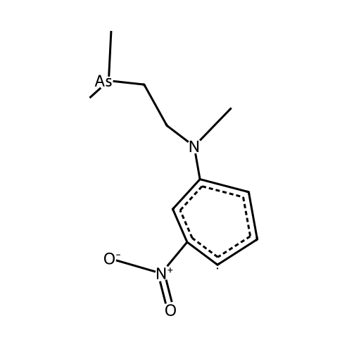 CN(CC[As](C)C)c1cc[c]c([N+](=O)[O-])c1